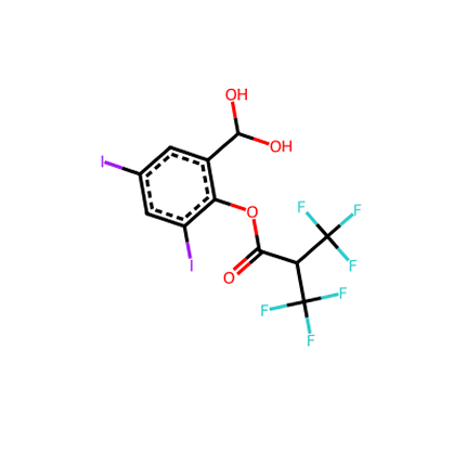 O=C(Oc1c(I)cc(I)cc1C(O)O)C(C(F)(F)F)C(F)(F)F